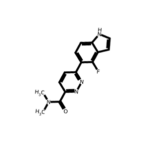 CN(C)C(=O)c1ccc(-c2ccc3[nH]ccc3c2F)nn1